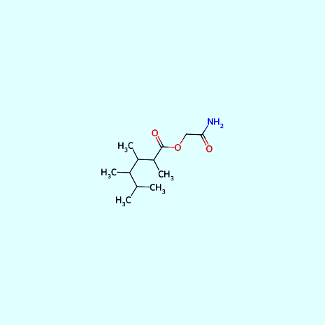 CC(C)C(C)C(C)C(C)C(=O)OCC(N)=O